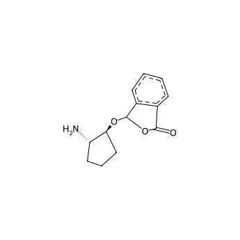 N[C@H]1CCC[C@@H]1OC1OC(=O)c2ccccc21